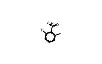 Cc1cccc(F)c1[SH](=O)=O